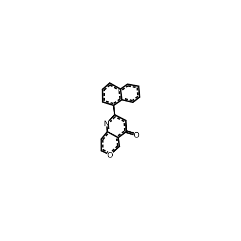 O=c1cc(-c2cccc3ccccc23)nc2ccocc1-2